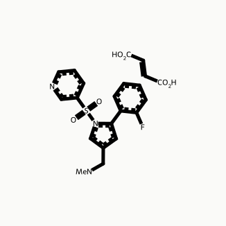 CNCc1cc(-c2ccccc2F)n(S(=O)(=O)c2cccnc2)c1.O=C(O)/C=C/C(=O)O